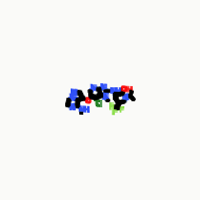 CNc1nccn2ncc(Oc3cnc4nc(NC5=CC(C(F)(F)F)=CN(C(C)C)C5O)n(C)c4c3Cl)c12